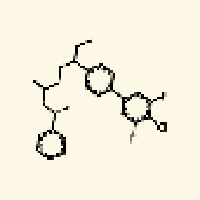 CCC(CCC(C)C[C@@H](C)c1ccccc1)c1ccc(-c2cc(F)c(Cl)c(F)c2)cc1